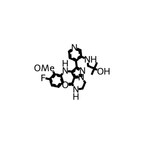 COc1c(F)cccc1Nc1c(-c2ccncc2NCC(C)(C)O)nn2c1C(=O)NCC2